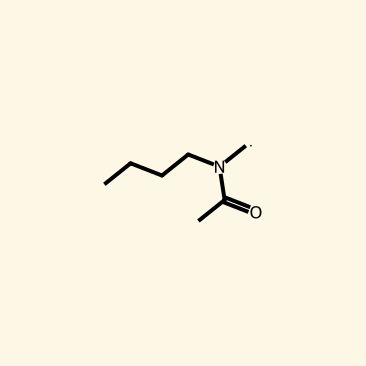 [CH2]N(CCCC)C(C)=O